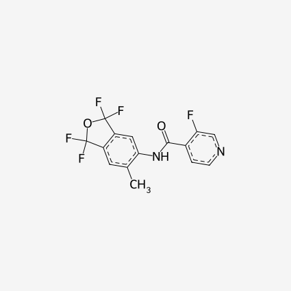 Cc1cc2c(cc1NC(=O)c1ccncc1F)C(F)(F)OC2(F)F